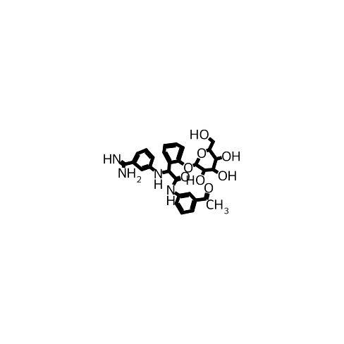 CC(=O)c1cccc(NC(=O)C(Nc2cccc(C(=N)N)c2)c2ccccc2OC2OC(CO)C(O)C(O)C2O)c1